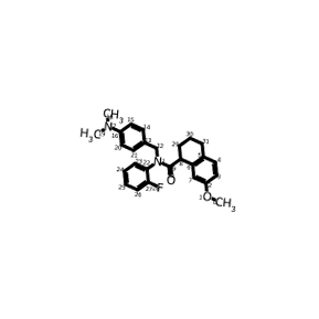 COc1ccc2c(c1)C(C(=O)N(Cc1ccc(N(C)C)cc1)c1ccccc1F)CCC2